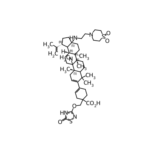 C=NC12CC[C@@H]3C4[C@H](C(=C)C)CC[C@]4(NCCN4CCS(=O)(=O)CC4)CC[C@@]3(C)[C@]1(C)CCC1C(C)(C)C(C3=CCC(COc4nsc(=O)[nH]4)(C(=O)O)CC3)=CC[C@@]12C